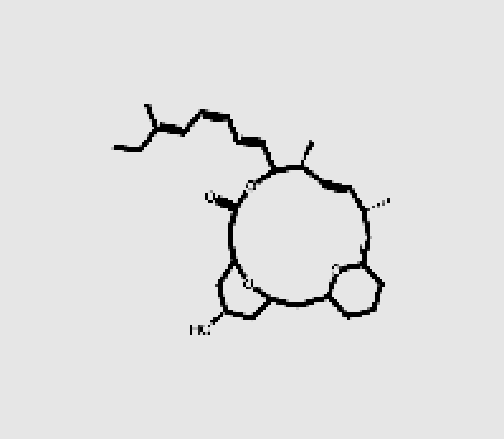 CC/C(C)=C/C=C\C=C\C1OC(=O)CC2C[C@H](O)CC(CC3CCC[C@H](C[C@@H](C)/C=C/[C@@H]1C)O3)O2